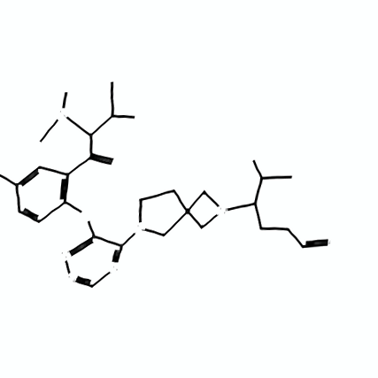 CC(C)C(C(=O)c1cc(F)ccc1Oc1nncnc1N1CCC2(C1)CN(C(CCC=O)C(C)C)C2)N(C)C